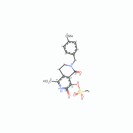 COc1ccc(CN2CCc3c(C(=O)O)[nH]c(=O)c(OS(C)(=O)=O)c3C2=O)cc1